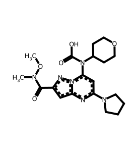 CON(C)C(=O)c1cc2nc(N3CCCC3)cc(N(C(=O)O)C3CCOCC3)n2n1